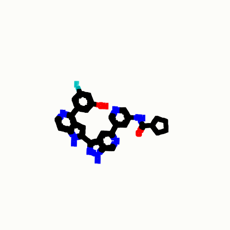 O=C(Nc1cncc(-c2cc3c(-c4cc5c(-c6cc(O)cc(F)c6)nccc5[nH]4)n[nH]c3cn2)c1)C1CCCC1